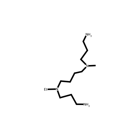 CCN(CCCN)CCCCN(C)CCCN